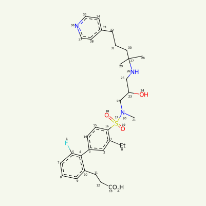 CCc1cc(-c2c(F)cccc2CCC(=O)O)ccc1S(=O)(=O)N(C)CC(O)CNC(C)(C)CCCc1ccncc1